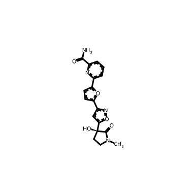 CN1CC[C@](O)(c2cc(-c3ccc(-c4cccc(C(N)=O)n4)o3)no2)C1=O